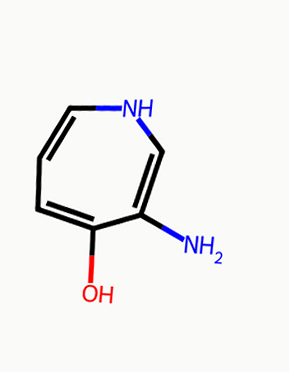 NC1=CNC=CC=C1O